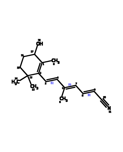 CC1=C(/C=C/C(C)=C/C=C/C#N)C(C)(C)CCC1O